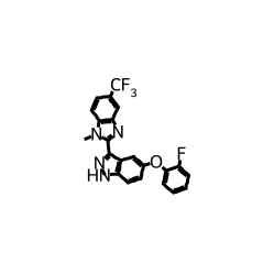 Cn1c(-c2n[nH]c3ccc(Oc4ccccc4F)cc23)nc2cc(C(F)(F)F)ccc21